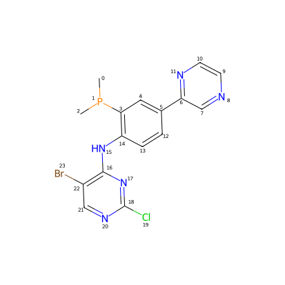 CP(C)c1cc(-c2cnccn2)ccc1Nc1nc(Cl)ncc1Br